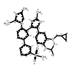 Cc1cn(-c2ccc(-c3cccc(S(C)(=O)=O)c3)cc2-c2nc(C)oc2-c2ccc(OC(F)F)c(OCC3CC3)c2)c(C)n1